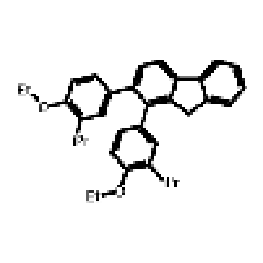 CCOc1ccc(-c2ccc3c(c2-c2ccc(OCC)c(C(C)C)c2)Cc2ccccc2-3)cc1C(C)C